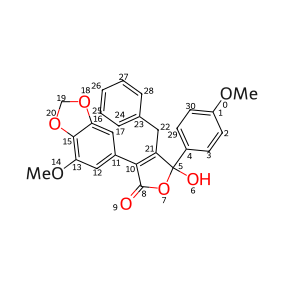 COc1ccc(C2(O)OC(=O)C(c3cc(OC)c4c(c3)OCO4)=C2Cc2ccccc2)cc1